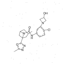 Cc1nnc(C23CC(C)CC(C2)N3C(=O)Nc2ccc(Cl)c(N3CC(O)C3)c2)o1